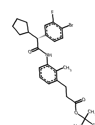 Cc1c(CCC(=O)OC(C)(C)C)cccc1NC(=O)[C@@H](c1ccc(Br)c(F)c1)C1CCCC1